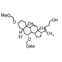 CC[C@H]1[C@@H](OCOC)C2C3CC[C@H]([C@H](C)CCCO)[C@@]3(C)CCC2[C@@]2(C)CC[C@@H](OCOC)C[C@@H]12